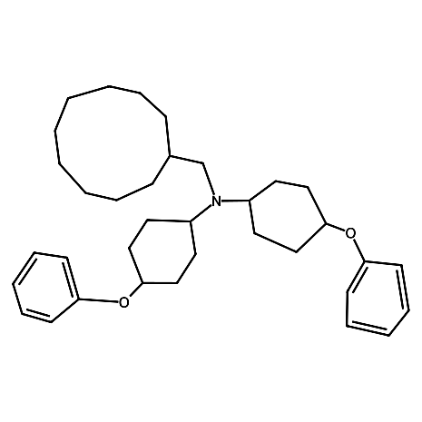 c1ccc(OC2CCC(N(CC3CCCCCCCCC3)C3CCC(Oc4ccccc4)CC3)CC2)cc1